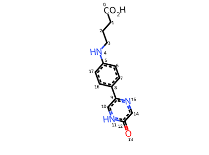 O=C(O)CCCNc1ccc(-c2c[nH]c(=O)cn2)cc1